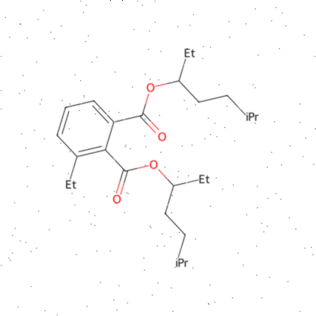 CCc1cccc(C(=O)OC(CC)CCC(C)C)c1C(=O)OC(CC)CCC(C)C